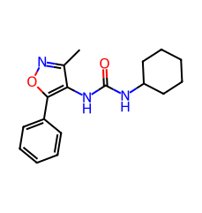 Cc1noc(-c2ccccc2)c1NC(=O)NC1CCCCC1